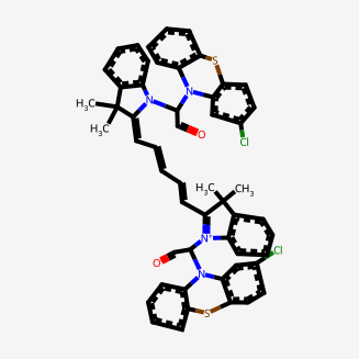 CC1(C)C(/C=C/C=C/C=C2\N(C(C=O)N3c4ccccc4Sc4ccc(Cl)cc43)c3ccccc3C2(C)C)=[N+](C(C=O)N2c3ccccc3Sc3ccc(Cl)cc32)c2ccccc21